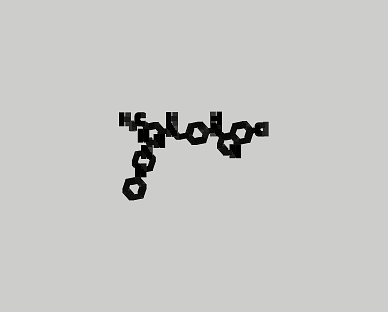 Cc1cc(NCc2ccc(Nc3ccnc4cc(Cl)ccc34)cc2)nc(N2CCN(c3ccccc3)CC2)n1